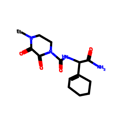 CCN1CCN(C(=O)NC(C(N)=O)C2=CCCCC2)C(=O)C1=O